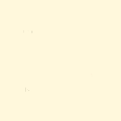 CC(C)(C)c1cc(OP)cc(C(C)(C)C)c1